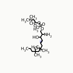 CCCC(C)(C)CC(C)(C)C/C=C/C(O)C(N)COP(=O)(OC)OCC[N+](C)(C)C